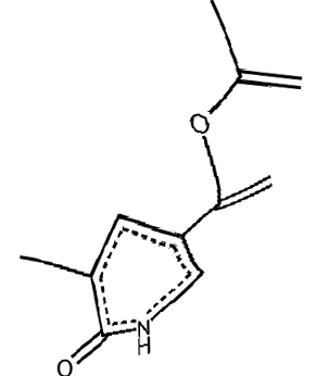 C=C(C)OC(=C)c1c[nH]c(=O)c(C)c1